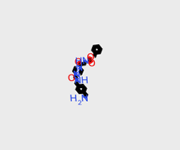 NCc1ccc(CNC(=O)N2CCN(C(=O)CNC(=O)OCc3ccccc3)CC2)cc1